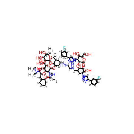 CCC1CC(CNCCNCC2CC(n3cc(-c4cccc(F)c4)nn3)C(O)[C@H](O[C@@H]3OC(CO)[C@H](O)C(n4cc(-c5cccc(F)c5)nn4)C3O)C2)C[C@@H](O[C@@H]2OC(CO)[C@H](O)C(O[C@@H](CC3CCCCC3)C(=O)N(C)C)C2NC(C)=O)C1O[C@@H]1OC(C)[C@@H](O)C(O)C1O